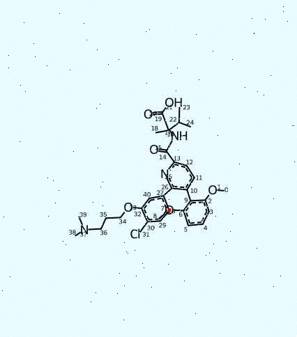 COc1cccc(OC)c1-c1ccc(C(=O)NC(C)(C(=O)O)C(C)C)nc1-c1ccc(Cl)c(OCCCN(C)C)c1